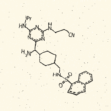 CC(C)Nc1nc(NCCC#N)nc(C(N)C2CCC(CNS(=O)(=O)c3cccc4ccccc34)CC2)n1